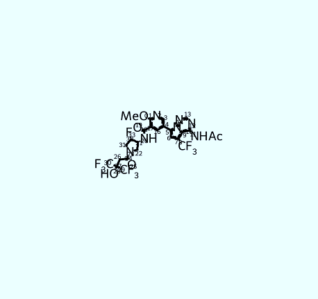 COc1ncc(-c2cc(C(F)(F)F)c3c(NC(C)=O)ncnn23)cc1C(=O)N[C@@H]1CN(C(=O)CC(O)(C(F)(F)F)C(F)(F)F)C[C@@H]1F